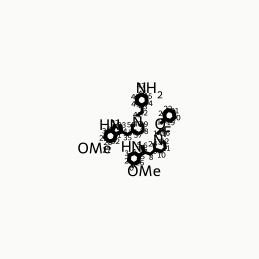 COc1ccc2[nH]cc(CC3=CCCN(CC(F)Oc4ccccc4)C3)c2c1.COc1ccc2[nH]cc(CC3=CCCN(CCc4ccc(N)cc4)C3)c2c1